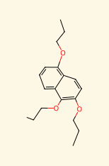 CCCOc1ccc2c(OCCC)cccc2c1OCCC